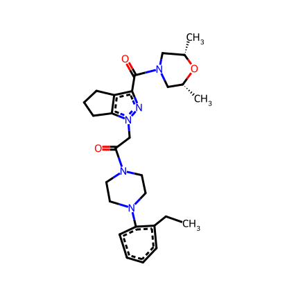 CCc1ccccc1N1CCN(C(=O)Cn2nc(C(=O)N3C[C@@H](C)O[C@@H](C)C3)c3c2CCC3)CC1